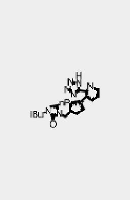 CCCCCc1cn(C(C)CC)c(=O)n1Cc1ccc(-c2cccnc2-c2nnn[nH]2)cc1